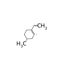 C=CC1=[C]CC(C)CC1